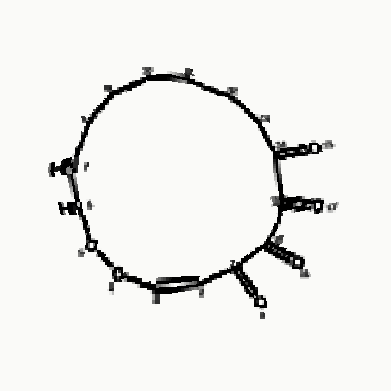 O=C1C=COONNCCCCCCC(=O)C(=O)C1=O